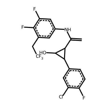 C=C(Nc1cc(F)c(F)c(CC(F)(F)F)c1)C1C(O)C1c1ccc(F)c(Cl)c1